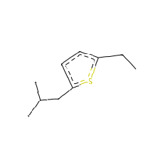 CCc1ccc(CC(C)C)s1